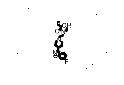 CCC(O)C(=O)N(CC)CCN1CCC(c2noc3cc(F)ccc23)CC1